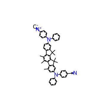 [C-]#[N+]c1ccc(N(c2ccccc2)c2ccc3c(c2)C(C)(C)c2c-3c(C)c(C)c3c2C(C)(C)c2cc(N(c4ccccc4)c4ccc(C#N)cc4)cc(C)c2-3)cc1